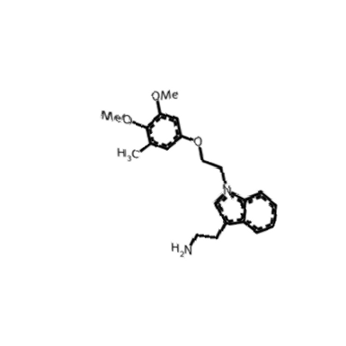 COc1cc(OCCn2cc(CCN)c3ccccc32)cc(C)c1OC